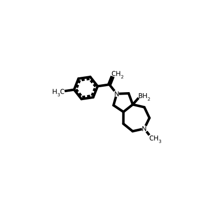 BC12CCN(C)CCC1CN(C(=C)c1ccc(C)cc1)C2